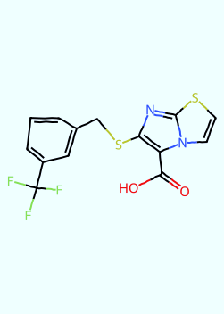 O=C(O)c1c(SCc2cccc(C(F)(F)F)c2)nc2sccn12